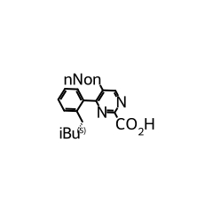 CCCCCCCCCc1cnc(C(=O)O)nc1-c1ccccc1C[C@@H](C)CC